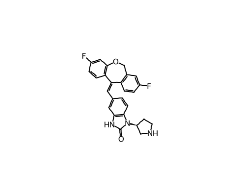 O=c1[nH]c2cc(/C=C3\c4ccc(F)cc4COc4cc(F)ccc43)ccc2n1[C@H]1CCNC1